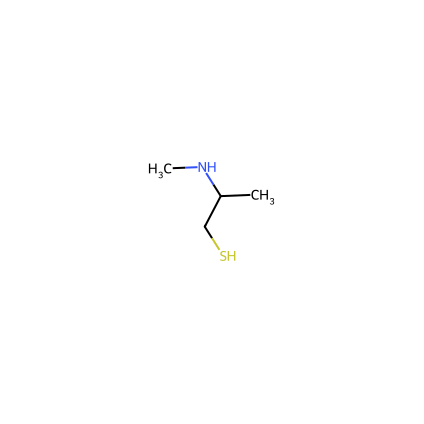 CNC(C)CS